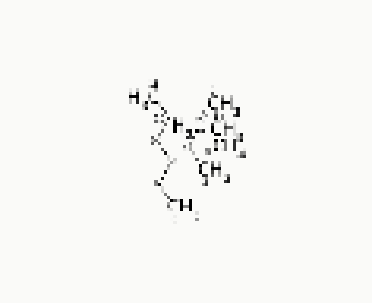 C.CC.CCC.CCCCCC